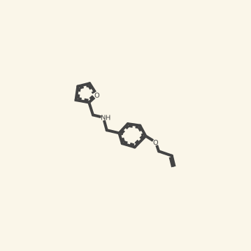 C=CCOc1ccc(CNCc2ccco2)cc1